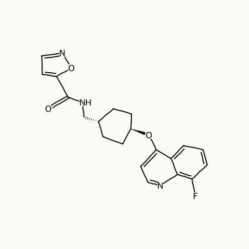 O=C(NC[C@H]1CC[C@H](Oc2ccnc3c(F)cccc23)CC1)c1ccno1